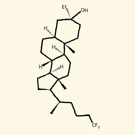 CC[C@]1(O)CC[C@@]2(C)[C@@H](CC[C@@H]3[C@@H]2CC[C@]2(C)[C@@H]([C@H](C)CCCC(F)(F)F)CC[C@@H]32)C1